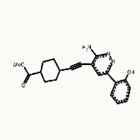 COC(=O)C1CCC(C#Cc2cc(-c3ccccc3O)nnc2N)CC1